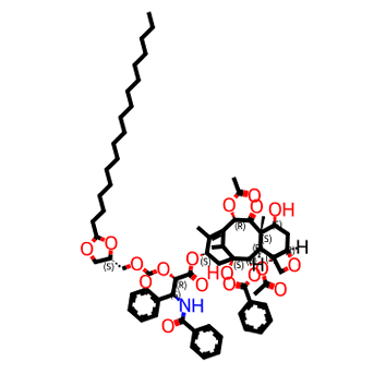 CCCCCCCCCCCCCCCCCC1OC[C@@H](COC(=O)O[C@@H](C(=O)O[C@H]2C[C@]3(O)C(C)C(=C2C)[C@@H](OC(C)=O)C(=O)[C@@]2(C)[C@H]([C@@H]3OC(=O)c3ccccc3)[C@]3(OC(C)=O)CO[C@@H]3C[C@@H]2O)[C@@H](NC(=O)c2ccccc2)c2ccccc2)O1